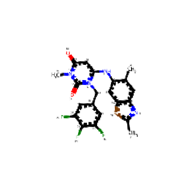 Cc1nc2cc(C)c(Nc3cc(=O)n(C)c(=O)n3Cc3cc(F)c(F)c(F)c3)cc2s1